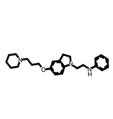 c1ccc(NCCN2CCc3cc(OCCCN4CCCCC4)ccc32)cc1